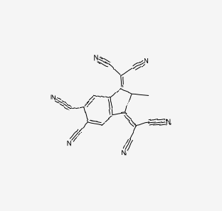 CC1C(=C(C#N)C#N)c2cc(C#N)c(C#N)cc2C1=C(C#N)C#N